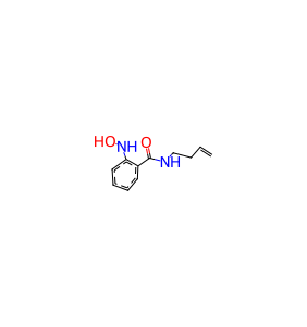 C=CCCNC(=O)c1ccccc1NO